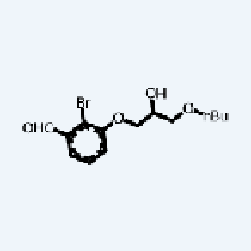 CCCCOCC(O)COc1cccc(C=O)c1Br